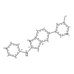 Cc1cncc(-c2ccc3nc(Nc4ccncc4)sc3c2)c1